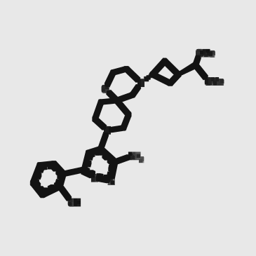 COC(OC)[C@H]1C[C@H](N2CCOC3(CCN(c4cc(-c5ccccc5O)nnc4N)CC3)C2)C1